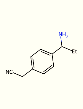 CCC(N)c1ccc(CC#N)cc1